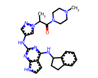 CC(C(=O)N1CCN(C)CC1)n1cc(Nc2nc(NC3CCc4ccccc43)c3cc[nH]c3n2)cn1